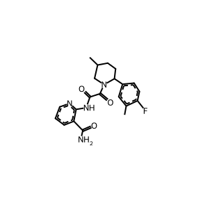 Cc1cc(C2CCC(C)CN2C(=O)C(=O)Nc2ncccc2C(N)=O)ccc1F